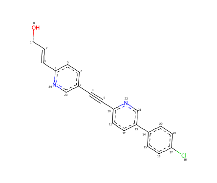 OCC=Cc1ccc(C#Cc2ccc(-c3ccc(Cl)cc3)cn2)cn1